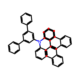 c1ccc(-c2cc(-c3ccccc3)cc(N(c3ccccc3-c3ccc4ccccc4c3)c3ccccc3-c3cc4ccccc4c4ccccc34)c2)cc1